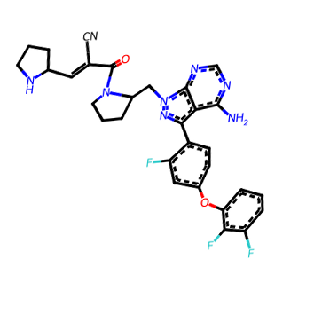 N#CC(=CC1CCCN1)C(=O)N1CCCC1Cn1nc(-c2ccc(Oc3cccc(F)c3F)cc2F)c2c(N)ncnc21